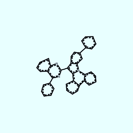 c1ccc(-c2ccc3c(-c4nc(-c5ccccc5)c5ccccc5n4)c4c5ccccc5c5ccccc5n4c3c2)cc1